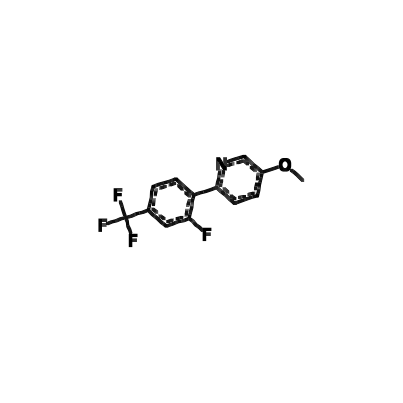 COc1ccc(-c2ccc(C(F)(F)F)cc2F)nc1